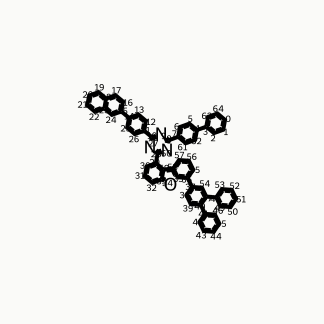 c1ccc(-c2ccc(-c3nc(-c4ccc(-c5ccc6ccccc6c5)cc4)nc(-c4cccc5oc6c(-c7ccc(-c8ccccc8)c(-c8ccccc8)c7)cccc6c45)n3)cc2)cc1